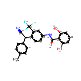 Cc1ccc(C(C#N)c2ccc(NC(=O)c3c(O)cccc3O)cc2C(F)(F)F)cc1